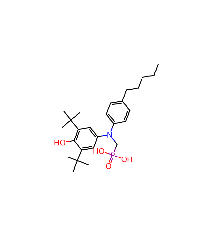 CCCCCc1ccc(N(CP(=O)(O)O)c2cc(C(C)(C)C)c(O)c(C(C)(C)C)c2)cc1